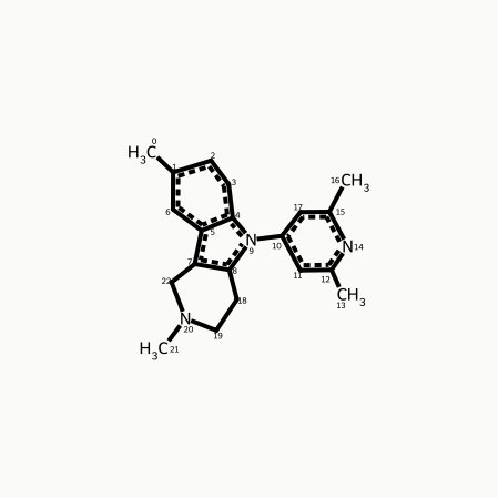 Cc1ccc2c(c1)c1c(n2-c2cc(C)nc(C)c2)CCN(C)C1